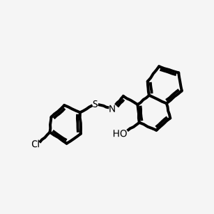 Oc1ccc2ccccc2c1/C=N/Sc1ccc(Cl)cc1